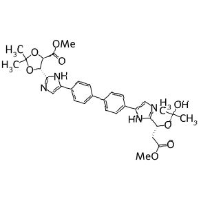 COC(=O)C[C@@H](OC(C)(C)O)c1ncc(-c2ccc(-c3ccc(-c4cnc([C@@H]5OC(C)(C)O[C@H]5C(=O)OC)[nH]4)cc3)cc2)[nH]1